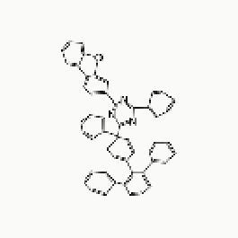 C1=CC(c2ccccc2)(c2nc(-c3ccccc3)nc(-c3ccc4c(c3)oc3ccccc34)n2)CC=C1c1c(-c2ccccc2)cccc1-c1ccccc1